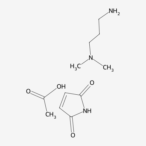 CC(=O)O.CN(C)CCCN.O=C1C=CC(=O)N1